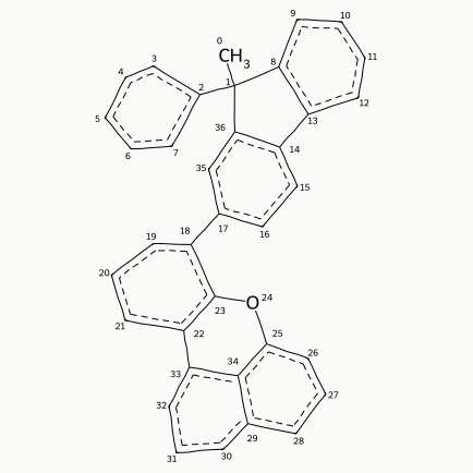 CC1(c2ccccc2)c2ccccc2-c2ccc(-c3cccc4c3Oc3cccc5cccc-4c35)cc21